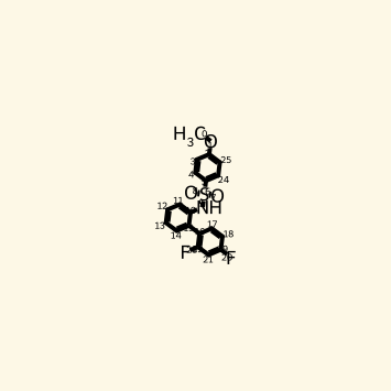 COc1ccc(S(=O)(=O)Nc2ccccc2-c2ccc(F)cc2F)cc1